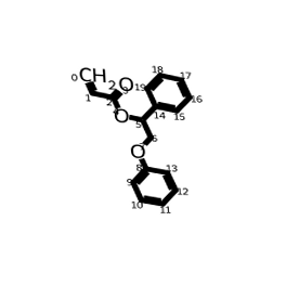 C=CC(=O)OC(COc1ccccc1)c1ccccc1